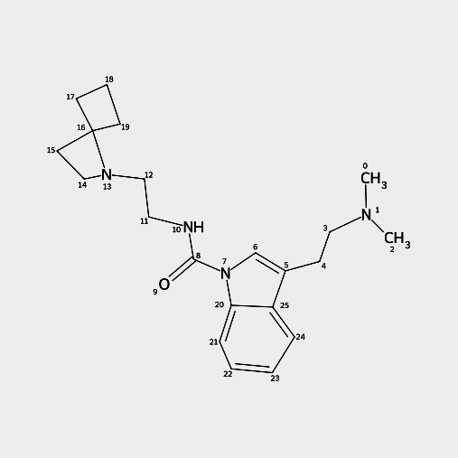 CN(C)CCc1cn(C(=O)NCCN2CCC23CCC3)c2ccccc12